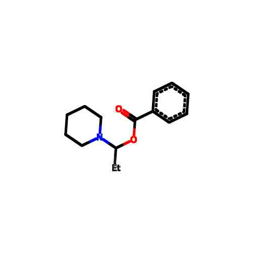 CCC(OC(=O)c1ccccc1)N1CCCCC1